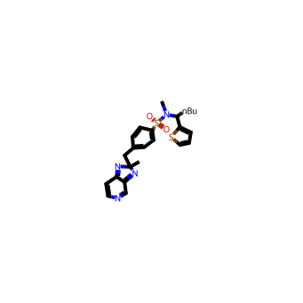 CCCCC(c1cccs1)N(C)S(=O)(=O)c1ccc(CC2(C)N=c3ccncc3=N2)cc1